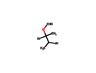 CCC(C)(OC=O)C(C)C(C)C